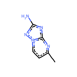 Cc1ccn2nc(N)nc2n1